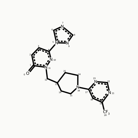 O=c1ccc(-n2cncn2)nn1CC1CCN(c2cc(C(F)(F)F)ncn2)CC1